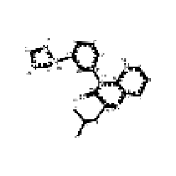 CC(C)Cc1nc2cccnc2n(-c2cccc(-n3cncn3)c2)c1=O